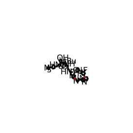 Cc1ncsc1-c1ccc(CNC(=O)[C@@H]2C[C@@H](O)CN2C(=O)C(NC(=O)CCCNC(=O)CN2CCC(n3cc(-c4cnc5cccc(-c6cc(F)c(CN7CCOCC7)c(F)c6)c5n4)cn3)CC2)C(C)(C)C)cc1